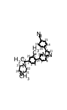 C=C(c1ccc(-c2ccc3ncc(-c4ccc(C#N)cc4)n3c2)c(C)c1)N1CCN(C)CC1